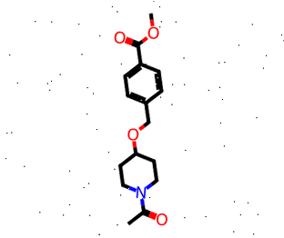 COC(=O)c1ccc(COC2CCN(C(C)=O)CC2)cc1